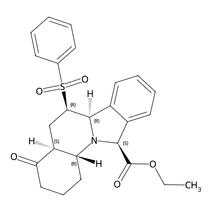 CCOC(=O)[C@@H]1c2ccccc2[C@@H]2[C@H](S(=O)(=O)c3ccccc3)C[C@@H]3C(=O)CCC[C@H]3N12